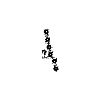 CC1CCCO1.COc1cc(N=Nc2ccc(N=Nc3ccc(OCc4ccccc4)cc3C)cc2)c(C)cc1N=Nc1ccc(OCc2ccccc2)cc1C